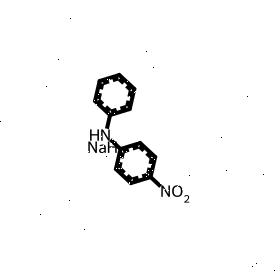 O=[N+]([O-])c1ccc(Nc2ccccc2)cc1.[NaH]